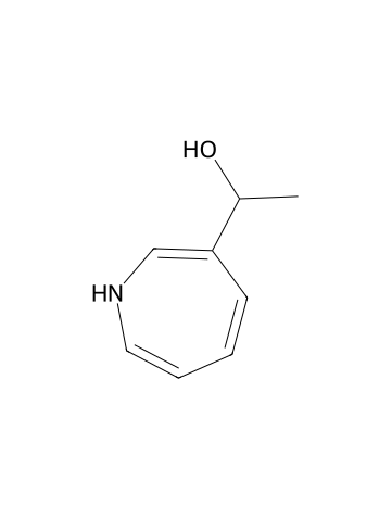 CC(O)C1=CNC=CC=C1